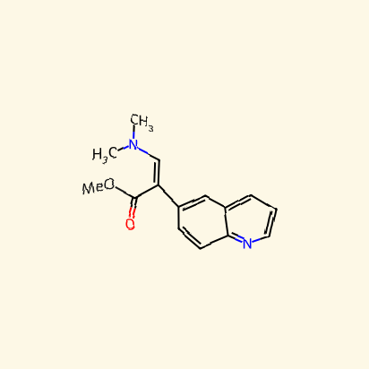 COC(=O)C(=CN(C)C)c1ccc2ncccc2c1